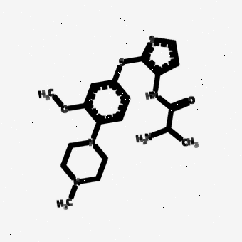 COc1cc(Sc2sccc2NC(=O)C(C)N)ccc1N1CCN(C)CC1